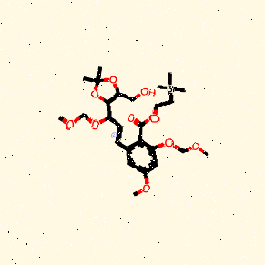 COCOc1cc(OC)cc(/C=C/C(OCOC)C2OC(C)(C)OC2CO)c1C(=O)OCC[Si](C)(C)C